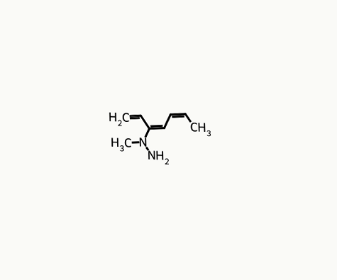 C=C/C(=C\C=C/C)N(C)N